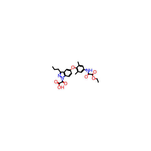 CCCc1nn(C(=O)C(=O)O)c2ccc(Oc3c(C)cc(NC(=O)C(=O)OCC)cc3C)cc12